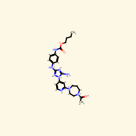 CCCCOC(=O)Nc1ccc(Nc2nc(N)n(-c3ccnc(N4CCCN(C(C)=O)CC4)c3)n2)cc1